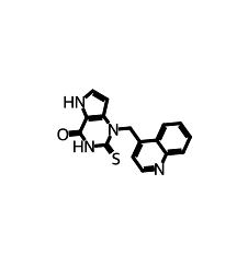 O=c1[nH]c(=S)n(Cc2ccnc3ccccc23)c2cc[nH]c12